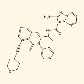 CC(NC(=O)c1c(N)nn2cccnc12)c1cc2cccc(C#CC3CCOCC3)c2c(=O)n1-c1ccccc1